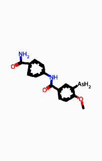 COc1ccc(C(=O)Nc2ccc(C(N)=O)cc2)cc1[AsH2]